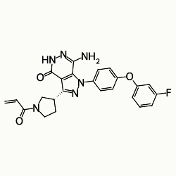 C=CC(=O)N1CC[C@@H](c2nn(-c3ccc(Oc4cccc(F)c4)cc3)c3c(N)n[nH]c(=O)c23)C1